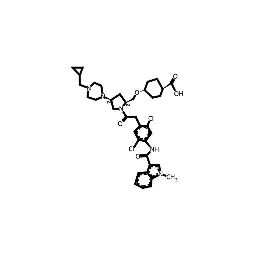 Cn1cc(C(=O)Nc2cc(Cl)c(CC(=O)N3C[C@@H](N4CCN(CC5CC5)CC4)C[C@H]3CO[C@H]3CC[C@H](C(=O)O)CC3)cc2Cl)c2ccccc21